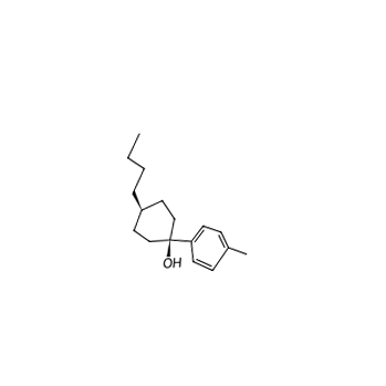 CCCC[C@H]1CC[C@](O)(c2ccc(C)cc2)CC1